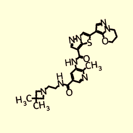 Cc1ncc(C(=O)NCCN2CC(C)(C)C2)cc1NC(=O)c1cnn2cc(-c3cnn4c3OCCC4)sc12